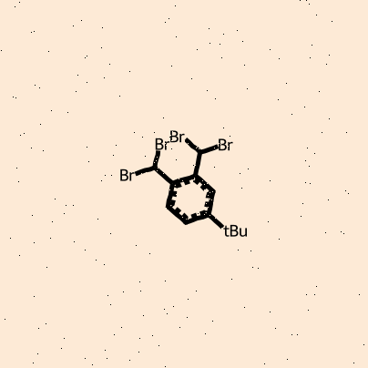 CC(C)(C)c1ccc(C(Br)Br)c(C(Br)Br)c1